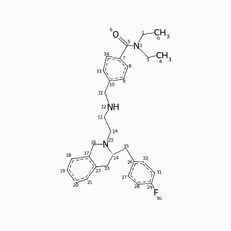 CCN(CC)C(=O)c1ccc(CNCCN2Cc3ccccc3CC2Cc2ccc(F)cc2)cc1